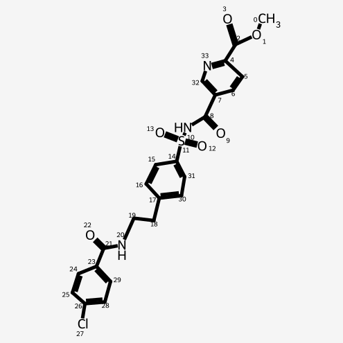 COC(=O)c1ccc(C(=O)NS(=O)(=O)c2ccc(CCNC(=O)c3ccc(Cl)cc3)cc2)cn1